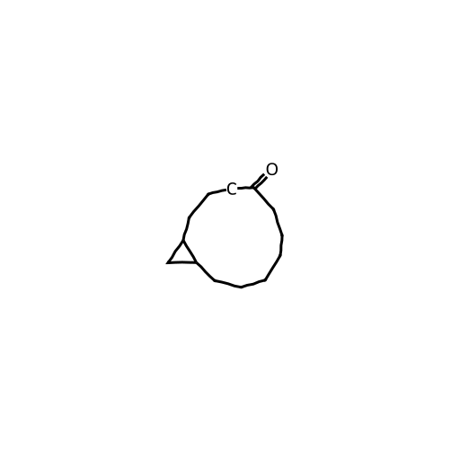 O=C1CCCCCCC2CC2CCC1